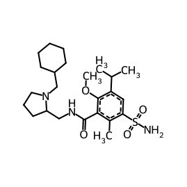 COc1c(C(C)C)cc(S(N)(=O)=O)c(C)c1C(=O)NCC1CCCN1CC1CCCCC1